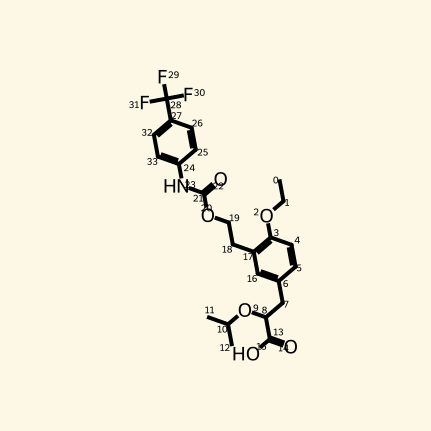 CCOc1ccc(CC(OC(C)C)C(=O)O)cc1CCOC(=O)Nc1ccc(C(F)(F)F)cc1